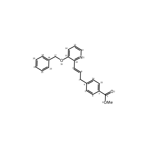 COC(=O)c1ccc(CC=Cc2ncccc2OCc2ccccc2)cc1